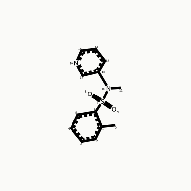 Cc1ccccc1S(=O)(=O)N(C)c1cccnc1